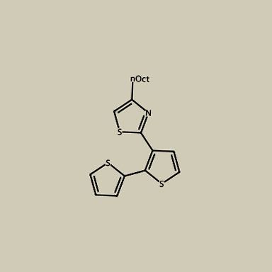 CCCCCCCCc1csc(-c2ccsc2-c2cccs2)n1